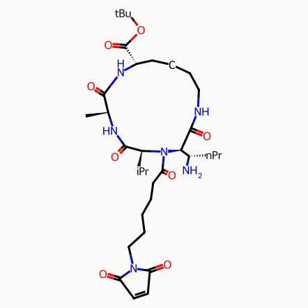 CCC[C@H](N)[C@@H]1C(=O)NCCCC[C@@H](C(=O)OC(C)(C)C)NC(=O)[C@H](C)NC(=O)[C@H](C(C)C)N1C(=O)CCCCCN1C(=O)C=CC1=O